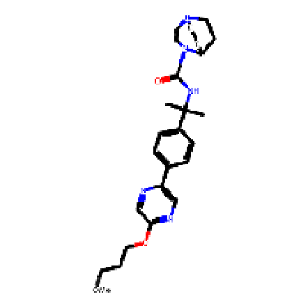 COCCCOc1cnc(-c2ccc(C(C)(C)NC(=O)N3CCN4CCC3CC4)cc2)cn1